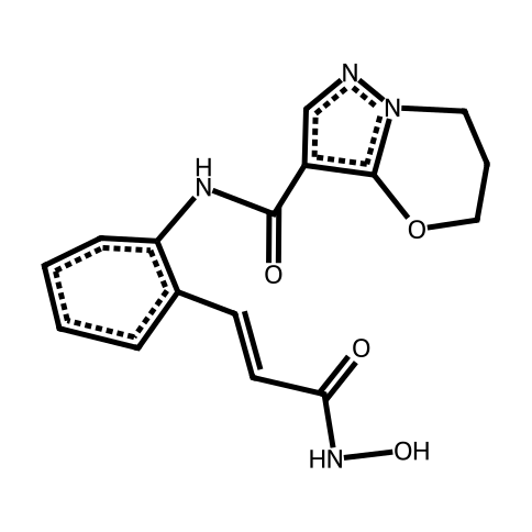 O=C(C=Cc1ccccc1NC(=O)c1cnn2c1OCCC2)NO